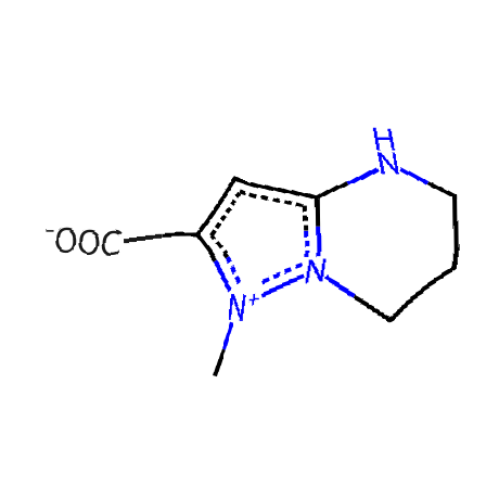 C[n+]1c(C(=O)[O-])cc2n1CCCN2